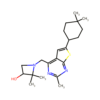 Cc1nc(CN2CC(O)C2(C)C)c2cc(C3CCC(C)(C)CC3)sc2n1